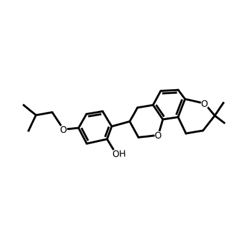 CC(C)COc1ccc(C2COc3c(ccc4c3CCC(C)(C)O4)C2)c(O)c1